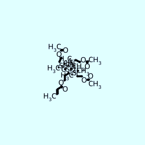 CC=CC(=O)OCCC[Si](O[Si](C)(C)CCOC(C)=O)(O[Si](C)(C)CCOC(C)=O)O[Si](C)(C)CCOC(C)=O